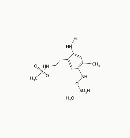 CCNc1cc(C)c(NOS(=O)(=O)O)cc1CCNS(C)(=O)=O.O